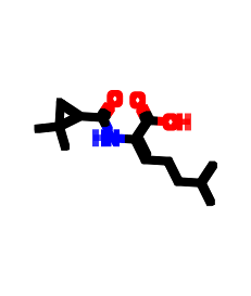 CC(C)CCC=C(NC(=O)C1CC1(C)C)C(=O)O